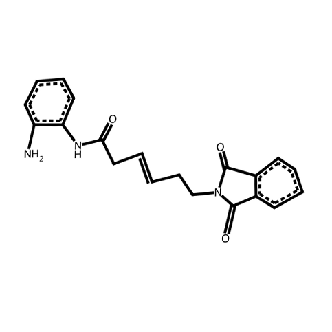 Nc1ccccc1NC(=O)C/C=C/CCN1C(=O)c2ccccc2C1=O